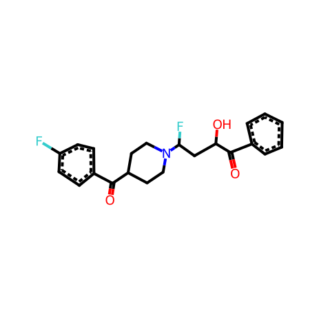 O=C(c1ccccc1)C(O)CC(F)N1CCC(C(=O)c2ccc(F)cc2)CC1